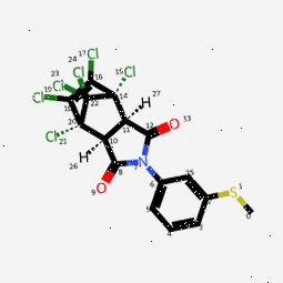 CSc1cccc(N2C(=O)[C@@H]3[C@H](C2=O)[C@]2(Cl)C(Cl)=C(Cl)[C@@]3(Cl)C2(Cl)Cl)c1